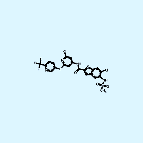 CS(=O)(=O)Nc1cc2cc(C(=O)Nc3cc(Cl)nc(Oc4ccc(C(F)(F)F)nc4)c3)sc2cc1Cl